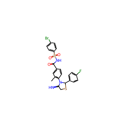 Cc1cc(C(=O)NS(=O)(=O)c2ccc(Br)cc2)ccc1N1C(=N)CSC1c1ccc(F)cc1